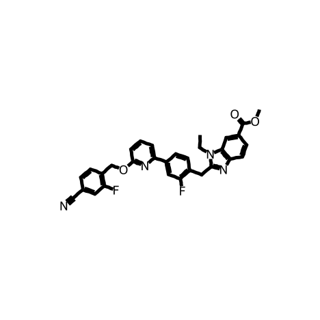 CCn1c(Cc2ccc(-c3cccc(OCc4ccc(C#N)cc4F)n3)cc2F)nc2ccc(C(=O)OC)cc21